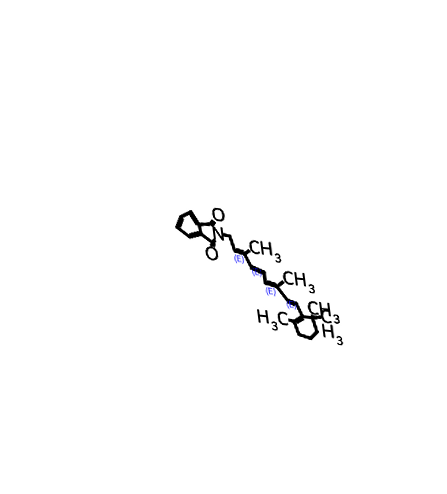 CC1=C(/C=C/C(C)=C/C=C/C(C)=C/CN2C(=O)c3ccccc3C2=O)C(C)(C)CCC1